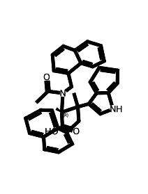 CC(=O)N(Cc1cccc2ccccc12)[C@@](C)(C(=O)O)C(C)(Cc1cccc2ccccc12)c1c[nH]c2ccccc12